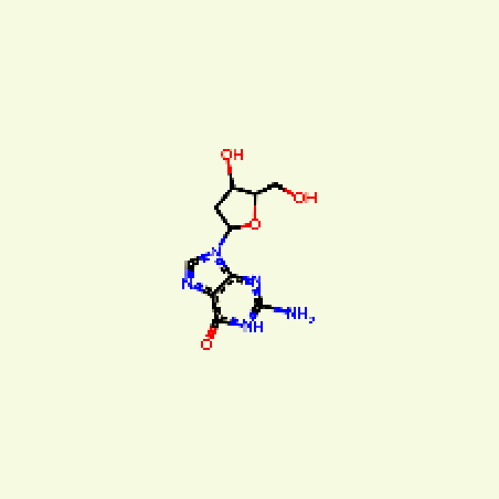 Nc1nc2c(ncn2C2CC(O)C(CO)O2)c(=O)[nH]1